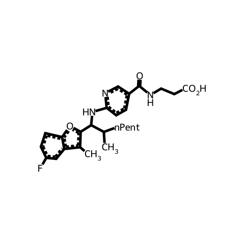 CCCCCC(C)C(Nc1ccc(C(=O)NCCC(=O)O)cn1)c1oc2ccc(F)cc2c1C